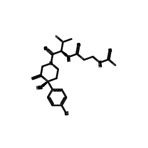 C=C1CN(C(=O)[C@H](NC(=O)CCNC(C)=O)C(C)C)CC[C@]1(O)c1ccc(Cl)cc1